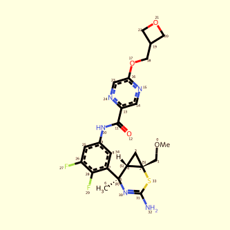 COC[C@]12C[C@H]1[C@](C)(c1cc(NC(=O)c3cnc(OCC4COC4)cn3)cc(F)c1F)N=C(N)S2